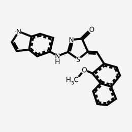 COc1c(C=C2SC(Nc3ccc4c(c3)C=C[N]4)=NC2=O)ccc2ccccc12